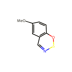 COc1ccc2c(c1)C=NSO2